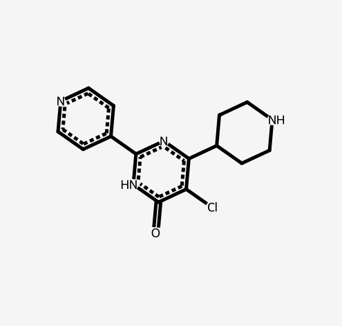 O=c1[nH]c(-c2ccncc2)nc(C2CCNCC2)c1Cl